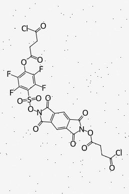 O=C(Cl)CCC(=O)Oc1c(F)c(F)c(S(=O)(=O)On2c(=O)c3cc4c(=O)n(OC(=O)CCC(=O)Cl)c(=O)c4cc3c2=O)c(F)c1F